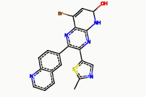 Cc1ncc(-c2nc3c(nc2-c2ccc4ncccc4c2)C(Br)=CC(O)N3)s1